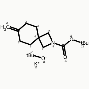 C=C1CCC2(CC1)CN(C(=O)OC(C)(C)C)C2.CC(C)(C)[O-].[K+]